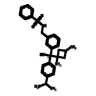 CC(C)c1ccc([C@](O)(c2cccc(CNS(=O)(=O)c3ccccc3)c2)C2(C)CN(C)C2)cc1